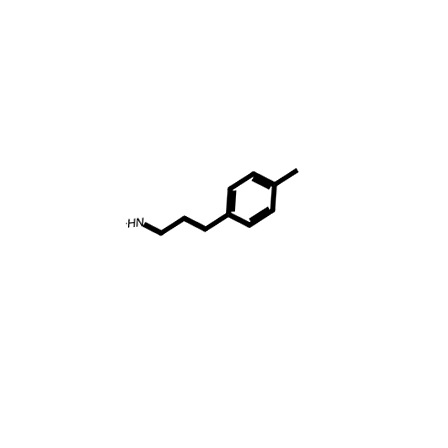 Cc1ccc(CCC[NH])cc1